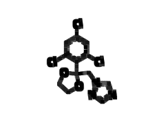 Clc1cc(Cl)c(C2(Cn3cncn3)OCCO2)c(Cl)c1